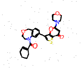 O=C(C1=CCCCC1)N1CCOCc2ccc(-c3csc4c(=O)cc(N5CCOCC5)oc34)cc21